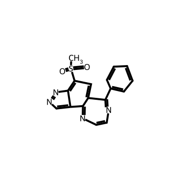 CS(=O)(=O)c1cc2c(-c3ccccc3)nccnc2c2cnnc12